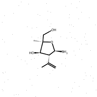 B[C@@H]1O[C@](C)(CO)[C@H](O)[C@H]1C(=C)C